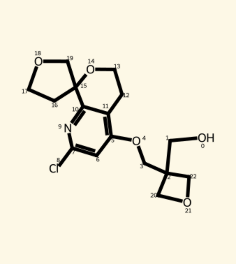 OCC1(COc2cc(Cl)nc3c2CCOC32CCOC2)COC1